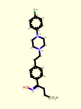 O=C(O)CC/C(=N/O)c1ccc(CCN2CCN(c3ccc(F)cc3)CC2)cc1